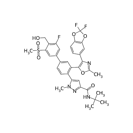 Cc1nc(-c2ccc3c(c2)OC(F)(F)O3)c(-c2cc(-c3cc(F)c(CO)c(S(C)(=O)=O)c3)ccc2-c2cc(C(=O)NC(C)(C)C)nn2C)o1